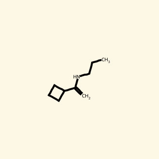 C=C(NCCC)C1CCC1